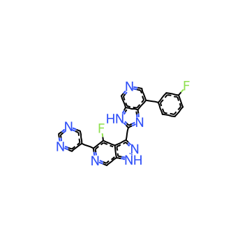 Fc1cccc(-c2cncc3[nH]c(-c4n[nH]c5cnc(-c6cncnc6)c(F)c45)nc23)c1